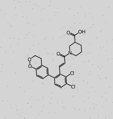 O=C(O)C1CCCN(C(=O)/C=C/c2c(-c3ccc4c(c3)CCOO4)c[c]c(Cl)c2Cl)C1